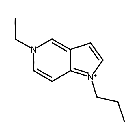 CCC[n+]1ccc2cn(CC)ccc1-2